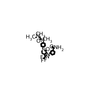 CCN(C)CC(=O)N(C)c1ccc(N2CCc3c(C(F)(F)F)nn(-c4cccc(C(N)=O)c4)c3C2=O)cc1